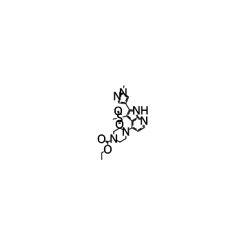 CCOC(=O)N1CCN(c2ccnc3[nH]c(-c4cnn(C)c4)c(S(C)(=O)=O)c23)CC1